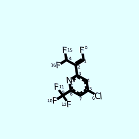 FC=C(c1cc(Cl)cc(C(F)(F)F)n1)C(F)F